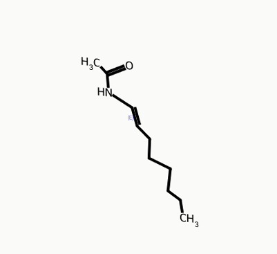 CCCCCC/C=C/NC(C)=O